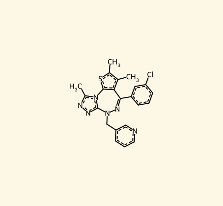 Cc1sc2c(c1C)C(c1cccc(Cl)c1)=NN(Cc1cccnc1)c1nnc(C)n1-2